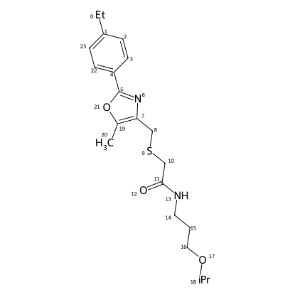 CCc1ccc(-c2nc(CSCC(=O)NCCCOC(C)C)c(C)o2)cc1